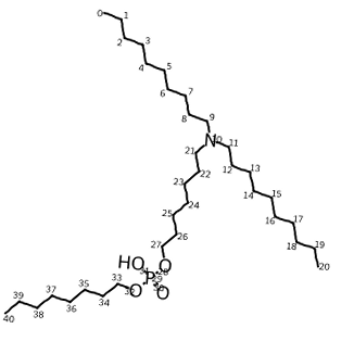 CCCCCCCCCCN(CCCCCCCCCC)CCCCCCCOP(=O)(O)OCCCCCCCC